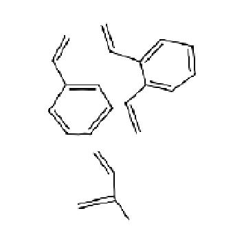 C=CC(=C)C.C=Cc1ccccc1.C=Cc1ccccc1C=C